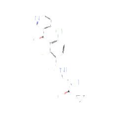 CC[C@@H](NCNC(=O)C1CC1)c1ccc(Cl)c(C(=O)c2cccnc2)c1F